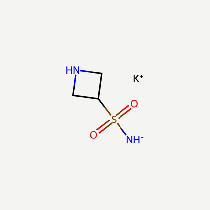 [K+].[NH-]S(=O)(=O)C1CNC1